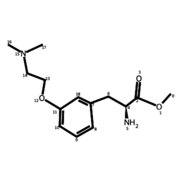 COC(=O)[C@@H](N)Cc1cccc(OCCN(C)C)c1